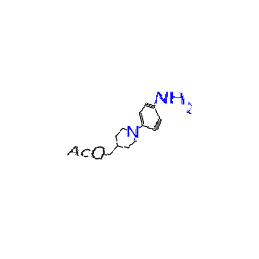 CC(=O)OCC1CCN(c2ccc(N)cc2)CC1